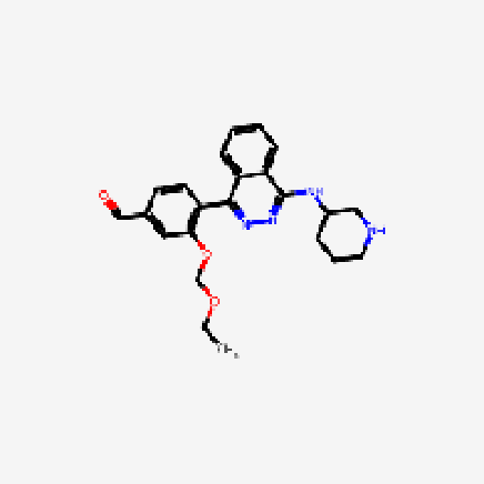 CCOCOc1cc(C=O)ccc1-c1nnc(NC2CCCNC2)c2ccccc12